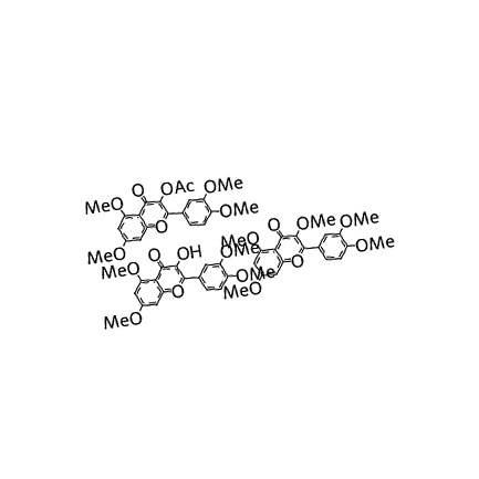 COc1cc(OC)c2c(=O)c(O)c(-c3ccc(OC)c(OC)c3)oc2c1.COc1cc(OC)c2c(=O)c(OC(C)=O)c(-c3ccc(OC)c(OC)c3)oc2c1.COc1cc(OC)c2c(=O)c(OC)c(-c3ccc(OC)c(OC)c3)oc2c1